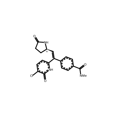 CNC(=O)c1ccc(C(=C[C@H]2CCC(=O)N2)c2ccc(Cl)c(=O)[nH]2)cc1